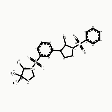 CCC1C(c2cccc(S(=O)(=O)N3CSC(C)(C)C3CC)c2)CCN1S(=O)(=O)c1ccccc1